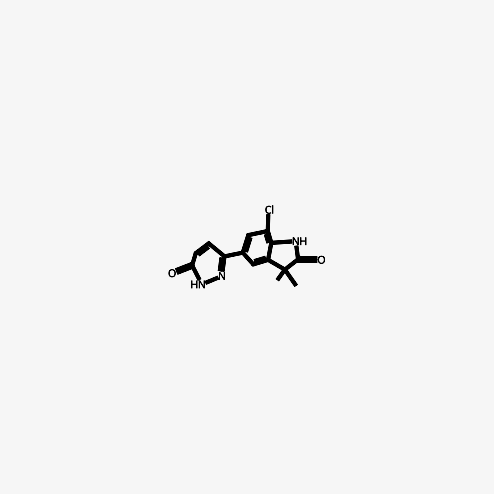 CC1(C)C(=O)Nc2c(Cl)cc(-c3ccc(=O)[nH]n3)cc21